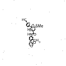 C#Cc1ccc(C(=O)NC(CCSC)C(=O)Nc2ccc(N3CCOCC3=O)c(C)c2)s1